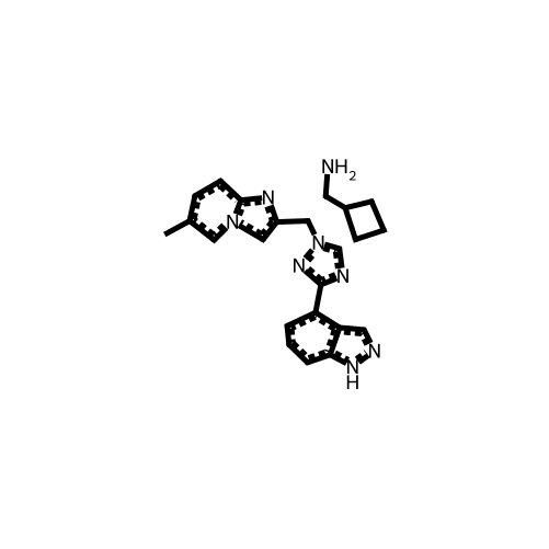 Cc1ccc2nc(Cn3cnc(-c4cccc5[nH]ncc45)n3)cn2c1.NCC1CCC1